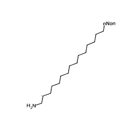 CCCCCCCCCCCCCCCCCCCCCC[CH]CN